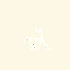 C=CCS(=O)(=O)O.CCCC[N+](C)(CCCC)CCCC